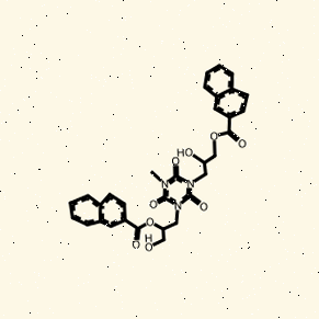 Cn1c(=O)n(CC(O)COC(=O)c2ccc3ccccc3c2)c(=O)n(CC(CO)OC(=O)c2ccc3ccccc3c2)c1=O